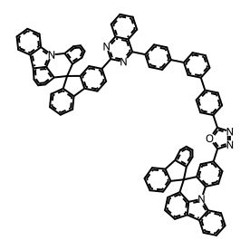 c1cc(-c2ccc(-c3nnc(-c4ccc5c(c4)C4(c6ccccc6-c6ccccc64)c4cccc6c7ccccc7n-5c46)o3)cc2)cc(-c2ccc(-c3nc(-c4ccc5c(c4)C4(c6ccccc6-5)c5ccccc5-n5c6ccccc6c6cccc4c65)nc4ccccc34)cc2)c1